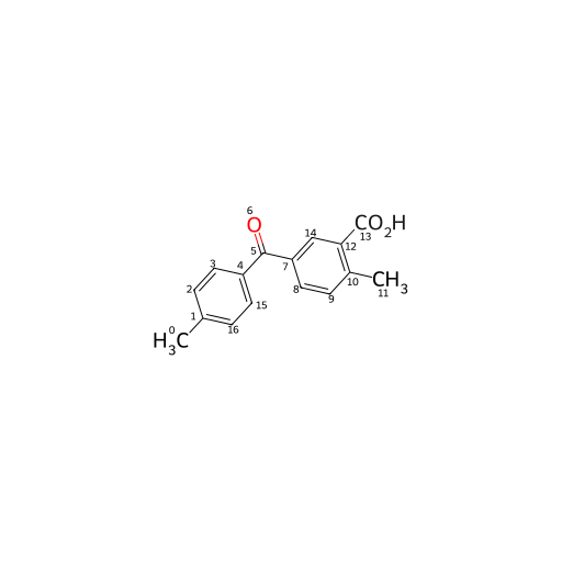 Cc1ccc(C(=O)c2ccc(C)c(C(=O)O)c2)cc1